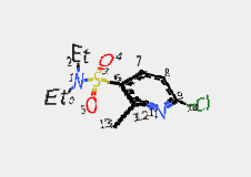 CCN(CC)S(=O)(=O)c1ccc(Cl)nc1C